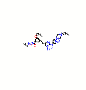 CCN1CCN(C2=CC[C@@H](NC3=NC[C@H](CCC4=C[C@H](OC)C[C@H](C(=O)NOC)C4)CN3)CN2)CC1